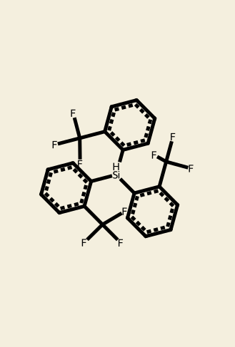 FC(F)(F)c1ccccc1[SiH](c1ccccc1C(F)(F)F)c1ccccc1C(F)(F)F